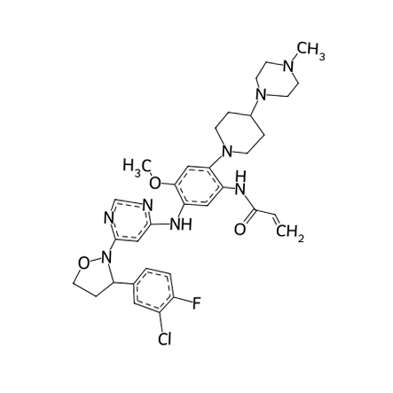 C=CC(=O)Nc1cc(Nc2cc(N3OCCC3c3ccc(F)c(Cl)c3)ncn2)c(OC)cc1N1CCC(N2CCN(C)CC2)CC1